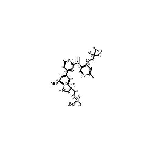 Cc1ncc(Nc2nccc(-c3cc(C#N)c4c(c3)[C@@](C)(CO[Si](C)(C)C(C)(C)C)CN4)n2)c(OCC2(C)COC2)n1